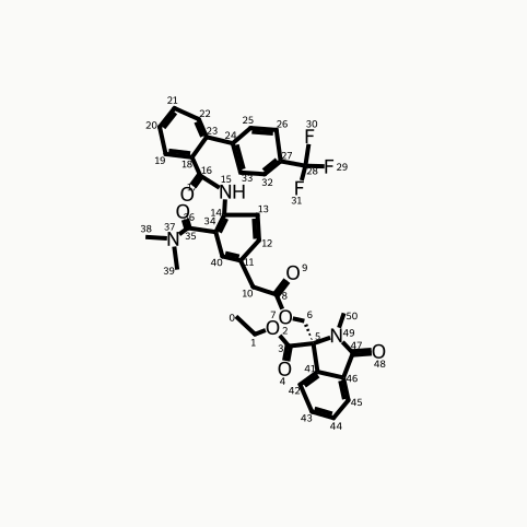 CCOC(=O)[C@]1(COC(=O)Cc2ccc(NC(=O)c3ccccc3-c3ccc(C(F)(F)F)cc3)c(C(=O)N(C)C)c2)c2ccccc2C(=O)N1C